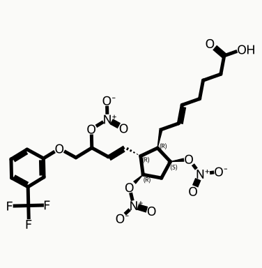 O=C(O)CCCC=CC[C@@H]1[C@@H](C=CC(COc2cccc(C(F)(F)F)c2)O[N+](=O)[O-])[C@H](O[N+](=O)[O-])C[C@@H]1O[N+](=O)[O-]